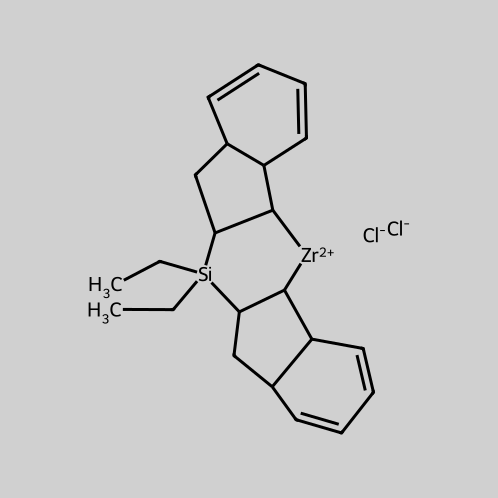 CC[Si]1(CC)C2CC3C=CC=CC3[CH]2[Zr+2][CH]2C3C=CC=CC3CC21.[Cl-].[Cl-]